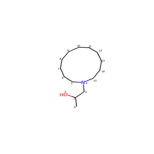 CC(O)CN1CCCCCCCCCCC1